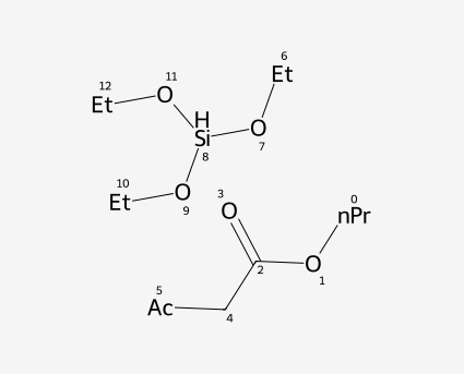 CCCOC(=O)CC(C)=O.CCO[SiH](OCC)OCC